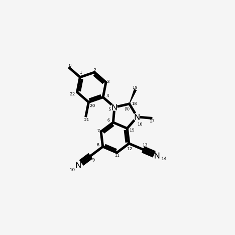 Cc1ccc(N2c3cc(C#N)cc(C#N)c3N(C)[C@@H]2C)c(C)c1